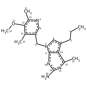 CCCc1cn(Cc2cnc(C)c(OC)c2C)c2nc(N)nc(C)c12